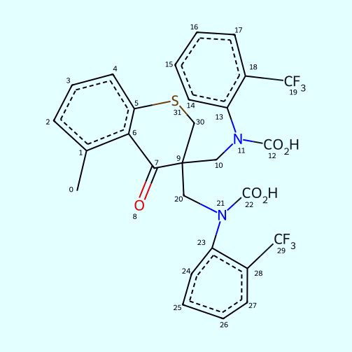 Cc1cccc2c1C(=O)C(CN(C(=O)O)c1ccccc1C(F)(F)F)(CN(C(=O)O)c1ccccc1C(F)(F)F)CS2